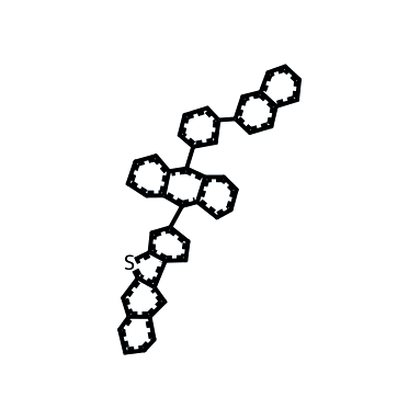 c1cc(-c2ccc3ccccc3c2)cc(-c2c3ccccc3c(-c3ccc4c(c3)sc3cc5ccccc5cc34)c3ccccc23)c1